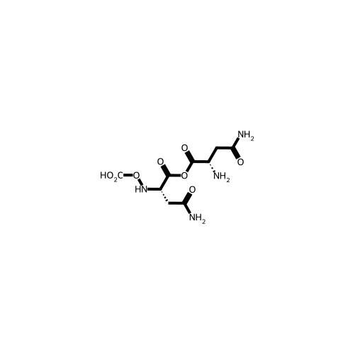 NC(=O)C[C@H](NOC(=O)O)C(=O)OC(=O)[C@@H](N)CC(N)=O